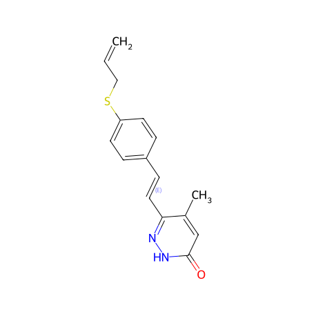 C=CCSc1ccc(/C=C/c2n[nH]c(=O)cc2C)cc1